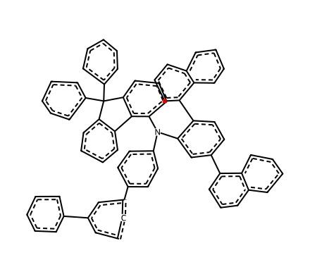 c1ccc(-c2cccc(-c3ccc(N(c4cc(-c5cccc6ccccc56)ccc4-c4cccc5ccccc45)c4cccc5c4-c4ccccc4C5(c4ccccc4)c4ccccc4)cc3)c2)cc1